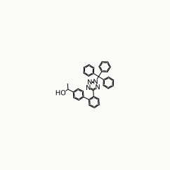 CC(O)c1ccc(-c2ccccc2-c2nnn(C(c3ccccc3)(c3ccccc3)c3ccccc3)n2)cc1